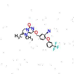 C[C@H]1CCn2c(cc(OCc3ccc(Oc4cccc(C(F)(F)F)c4)c(C#N)c3)nc2=O)N1C